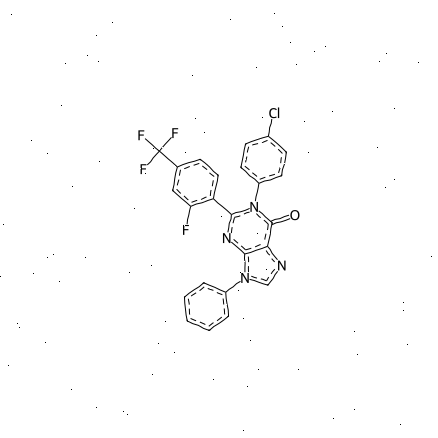 O=c1c2ncn(-c3ccccc3)c2nc(-c2ccc(C(F)(F)F)cc2F)n1-c1ccc(Cl)cc1